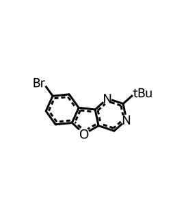 CC(C)(C)c1ncc2oc3ccc(Br)cc3c2n1